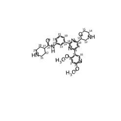 COc1cc(OC)c(-c2cc(C3CNCCO3)nc(-c3cccc(NC(=O)C4CCNCC4)c3)n2)cn1